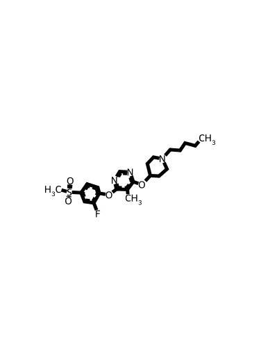 CCCCCN1CCC(Oc2ncnc(Oc3ccc(S(C)(=O)=O)cc3F)c2C)CC1